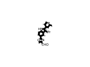 Cc1cc(-c2[nH]c3ccc(-c4nc(C=O)co4)cc3c2C(C)C)ccn1